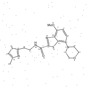 COc1ccc(N2CCOCC2)c2sc(C(=O)NCCc3nc(C)cs3)nc12